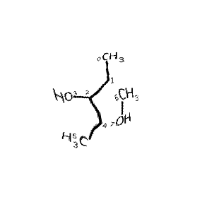 CCC(O)CC.CO